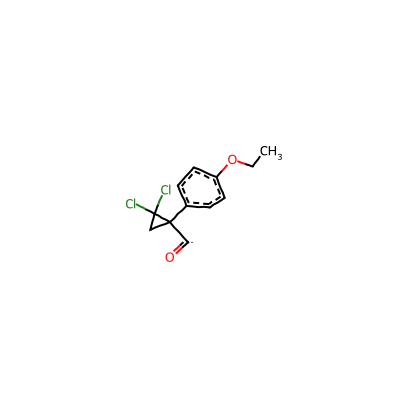 CCOc1ccc(C2([C]=O)CC2(Cl)Cl)cc1